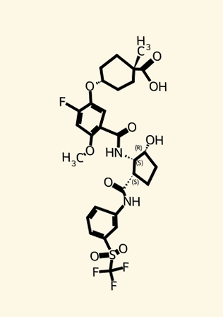 COc1cc(F)c(O[C@H]2CC[C@@](C)(C(=O)O)CC2)cc1C(=O)N[C@@H]1[C@H](O)CC[C@@H]1C(=O)Nc1cccc(S(=O)(=O)C(F)(F)F)c1